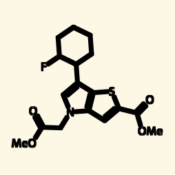 COC(=O)Cn1cc(C2CCCCC2F)c2sc(C(=O)OC)cc21